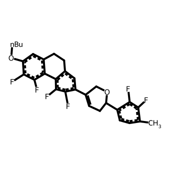 CCCCOc1cc2c(c(F)c1F)-c1c(cc(C3=CCC(c4ccc(C)c(F)c4F)OC3)c(F)c1F)CC2